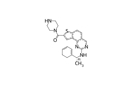 C[C@@H](Nc1ncc2ccc3sc(C(=O)N4CCNCC4)cc3c2n1)C1=CC=CCC1